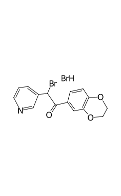 Br.O=C(c1ccc2c(c1)OCCO2)C(Br)c1cccnc1